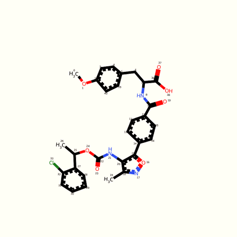 COc1ccc(CC(NC(=O)c2ccc(-c3onc(C)c3NC(=O)OC(C)c3ccccc3Cl)cc2)C(=O)O)cc1